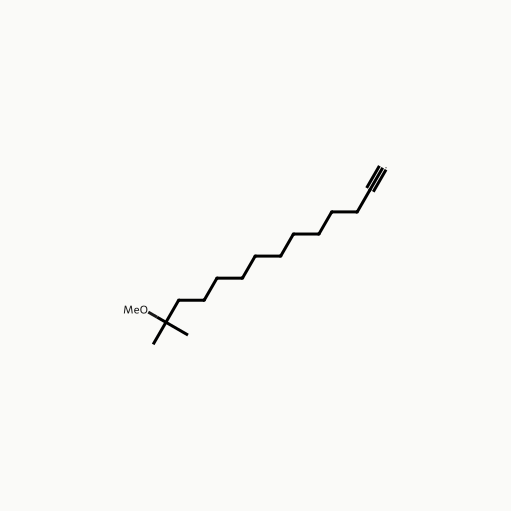 [C]#CCCCCCCCCCCC(C)(C)OC